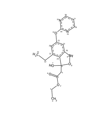 CCOC(=O)CC1(O)OBc2cc(Oc3ncccn3)cc(CC)c21